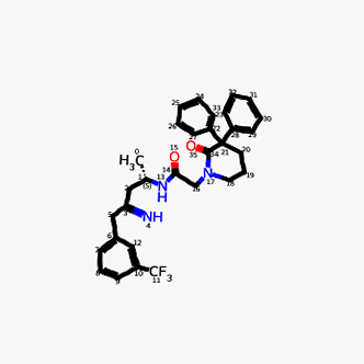 C[C@@H](CC(=N)Cc1cccc(C(F)(F)F)c1)NC(=O)CN1CCCC(c2ccccc2)(c2ccccc2)C1=O